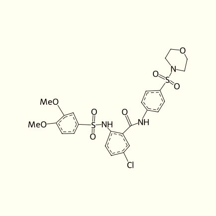 COc1ccc(S(=O)(=O)Nc2ccc(Cl)cc2C(=O)Nc2ccc(S(=O)(=O)N3CCOCC3)cc2)cc1OC